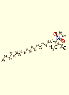 CCC=C(C)C(CCCCCCCCCCCCCCCCCCCC)N1C(=O)CCC1=O